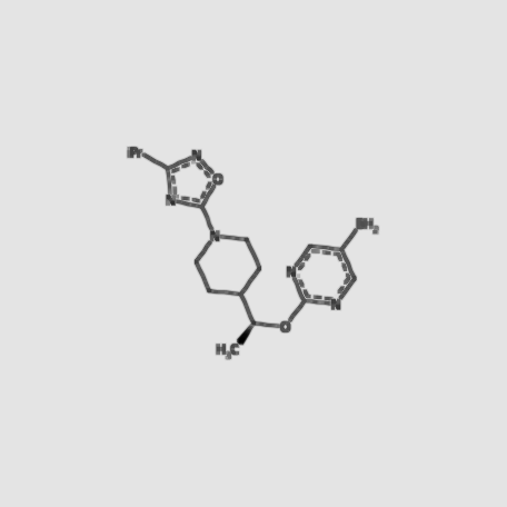 Bc1cnc(O[C@@H](C)C2CCN(c3nc(C(C)C)no3)CC2)nc1